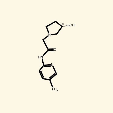 Cc1ccc(NC(=O)CN2CC[C@H](O)C2)nc1